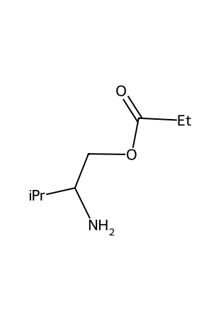 CCC(=O)OCC(N)C(C)C